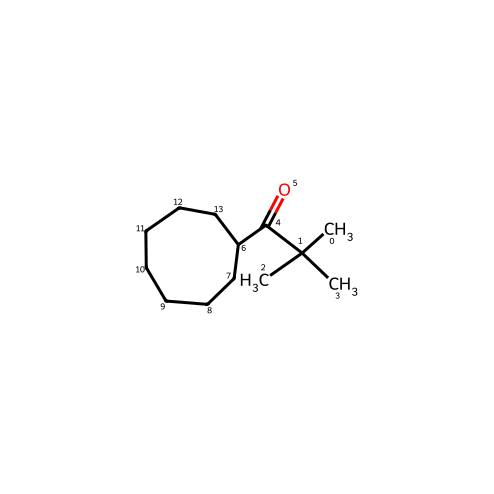 CC(C)(C)C(=O)C1CCCCCCC1